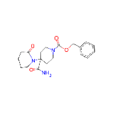 NC(=O)C1(N2CCCCC2=O)CCN(C(=O)OCc2ccccc2)CC1